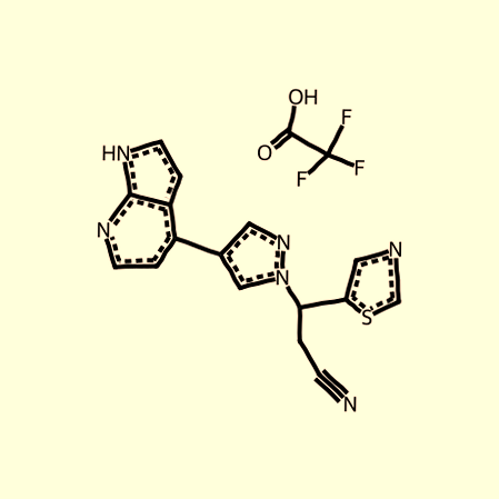 N#CCC(c1cncs1)n1cc(-c2ccnc3[nH]ccc23)cn1.O=C(O)C(F)(F)F